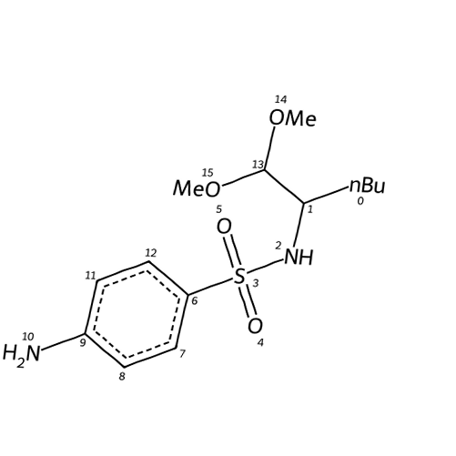 CCCCC(NS(=O)(=O)c1ccc(N)cc1)C(OC)OC